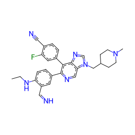 CCNc1ccc(-c2ncc3c(ncn3CC3CCN(C)CC3)c2-c2ccc(C#N)c(F)c2)cc1C=N